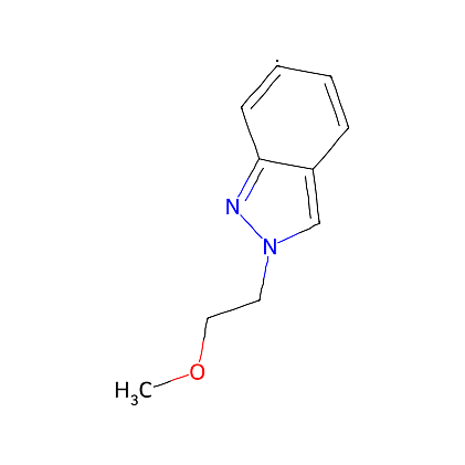 COCCn1cc2cc[c]cc2n1